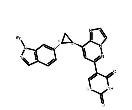 CC(C)n1ncc2ccc([C@@H]3C[C@H]3c3cc(-c4c[nH]c(=O)[nH]c4=O)nn4ccnc34)cc21